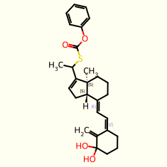 C=C1/C(=C\C=C2/CCC[C@]3(C)C(C(C)SC(=O)Oc4ccccc4)=CC[C@@H]23)CCCC1(O)O